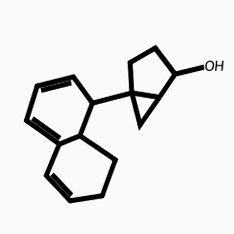 OC1CCC2(C3C=CC=C4C=CCCC43)CC12